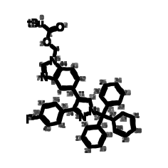 CC(C)(C)C(=O)OCn1cnc2cc(-c3cn(C(c4ccccc4)(c4ccccc4)C4C=CC=CC4)nc3-c3ccc(F)cc3)ccc21